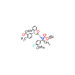 COC(=O)c1cc(C2C[C@@H](CCN(C(=O)OC(C)(C)C)[C@H](C)c3ccc(F)c(OC)c3)Oc3ccccc32)ccc1C